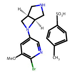 COc1cc(N2C[C@H]3CNC[C@H]32)cnc1Br.Cc1ccc(S(=O)(=O)O)cc1